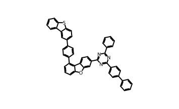 c1ccc(-c2ccc(-c3nc(-c4ccccc4)nc(-c4ccc5c(c4)oc4cccc(-c6ccc(-c7ccc8sc9ccccc9c8c7)cc6)c45)n3)cc2)cc1